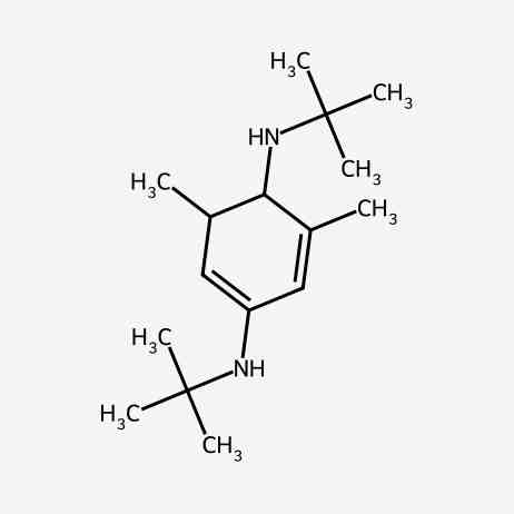 CC1=CC(NC(C)(C)C)=CC(C)C1NC(C)(C)C